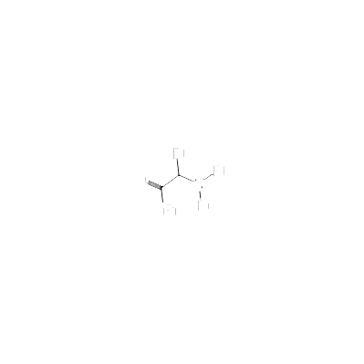 CCC(C(=O)C(C)C)N(CC)CC